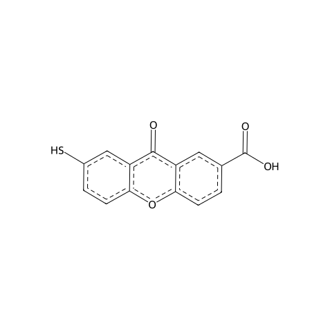 O=C(O)c1ccc2oc3ccc(S)cc3c(=O)c2c1